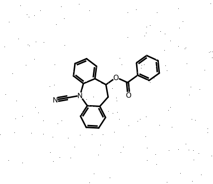 N#CN1c2ccccc2CC(OC(=O)c2ccccc2)c2ccccc21